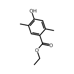 CCOC(=O)c1cc(C)c(O)cc1C